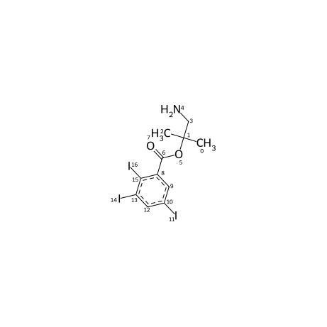 CC(C)(CN)OC(=O)c1cc(I)cc(I)c1I